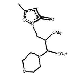 COC(Cn1oc(C)cc1=O)C(C(=O)O)N1CCOCC1